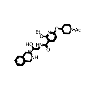 CCOc1nc(OC2CCN(C(C)=O)CC2)ccc1C(=O)NCC(O)[C@@H]1Cc2ccccc2CN1